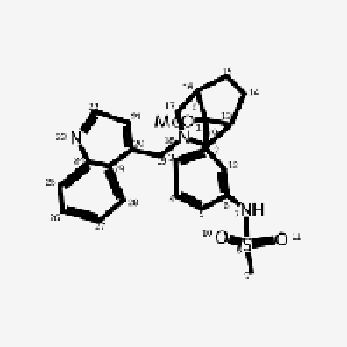 COC1(c2cccc(NS(C)(=O)=O)c2)C2CCC1CN(Cc1ccnc3ccccc13)C2